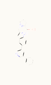 OCC1CCCN1Cc1cc2cc(-c3cncc(C4=CCCCC4)c3)ccc2[nH]1